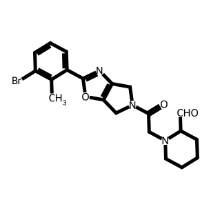 Cc1c(Br)cccc1-c1nc2c(o1)CN(C(=O)CN1CCCCC1C=O)C2